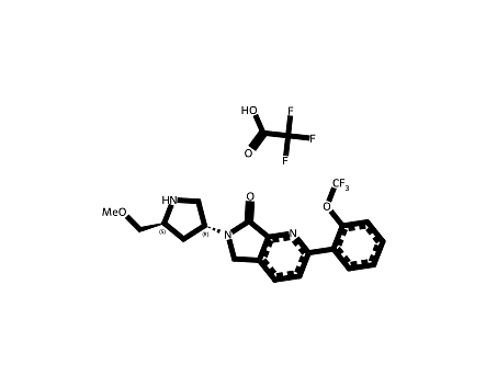 COC[C@@H]1C[C@@H](N2Cc3ccc(-c4ccccc4OC(F)(F)F)nc3C2=O)CN1.O=C(O)C(F)(F)F